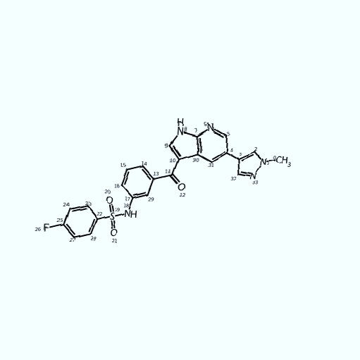 Cn1cc(-c2cnc3[nH]cc(C(=O)c4cccc(NS(=O)(=O)c5ccc(F)cc5)c4)c3c2)cn1